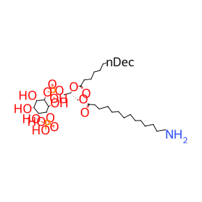 CCCCCCCCCCCCCCCC(=O)O[C@H](COC(=O)CCCCCCCCCCCCCN)COP(=O)(O)OC1C(O)[C@H](OP(=O)(O)O)C(O)[C@H](O)[C@@H]1O